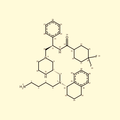 NCCCCN(C[C@H]1CN(C[C@H](NC(=O)C2CCC(F)(F)CC2)c2ccccc2)CCN1)[C@H]1CCCc2cccnc21